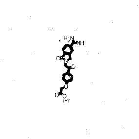 CC(C)OC(=O)COc1ccc(C(=O)CN2Cc3cc(C(=N)N)ccc3C2=O)cc1